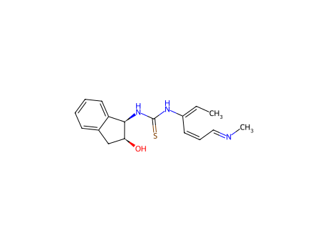 C\C=C(/C=C\C=N\C)NC(=S)N[C@@H]1c2ccccc2C[C@@H]1O